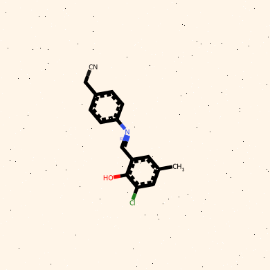 Cc1cc(Cl)c(O)c(/C=N/c2ccc(CC#N)cc2)c1